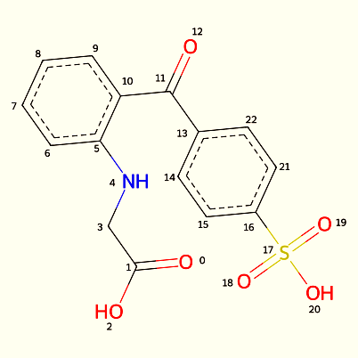 O=C(O)CNc1ccccc1C(=O)c1ccc(S(=O)(=O)O)cc1